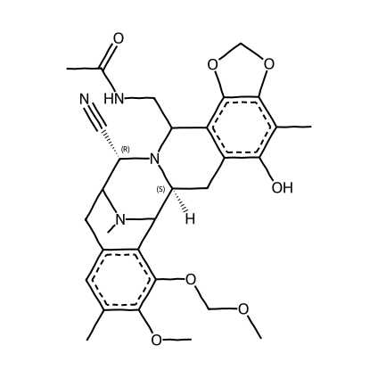 COCOc1c(OC)c(C)cc2c1C1[C@@H]3Cc4c(O)c(C)c5c(c4C(CNC(C)=O)N3[C@@H](C#N)C(C2)N1C)OCO5